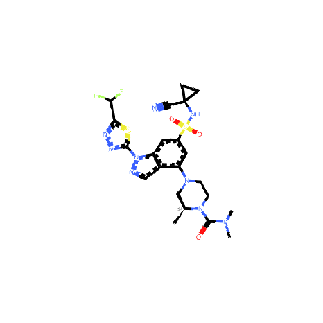 C[C@H]1CN(c2cc(S(=O)(=O)NC3(C#N)CC3)cc3c2cnn3-c2nnc(C(F)F)s2)CCN1C(=O)N(C)C